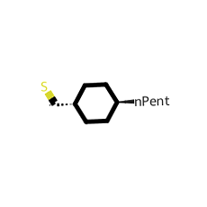 CCCCC[C@H]1CC[C@H]([C]=S)CC1